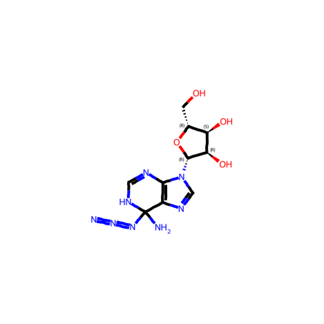 [N-]=[N+]=NC1(N)NC=Nc2c1ncn2[C@@H]1O[C@H](CO)[C@@H](O)[C@H]1O